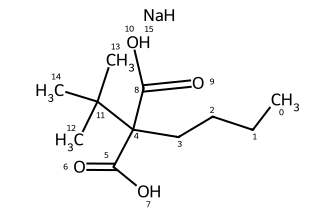 CCCCC(C(=O)O)(C(=O)O)C(C)(C)C.[NaH]